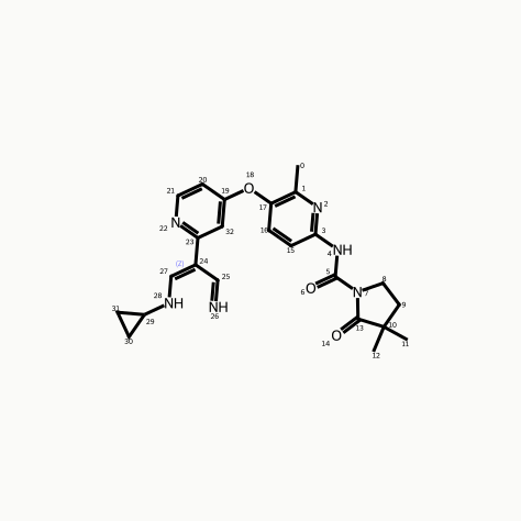 Cc1nc(NC(=O)N2CCC(C)(C)C2=O)ccc1Oc1ccnc(/C(C=N)=C/NC2CC2)c1